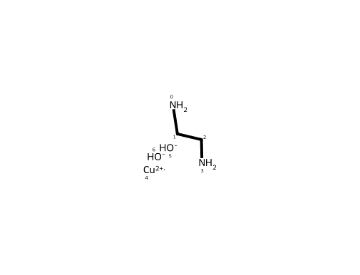 NCCN.[Cu+2].[OH-].[OH-]